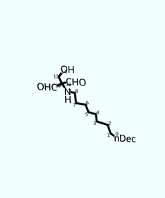 CCCCCCCCCCCCCCCCCCNC(C=O)(C=O)CO